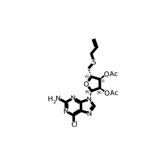 C=CCSC[C@H]1O[C@@H](n2cnc3c(Cl)nc(N)nc32)[C@H](OC(C)=O)[C@@H]1OC(C)=O